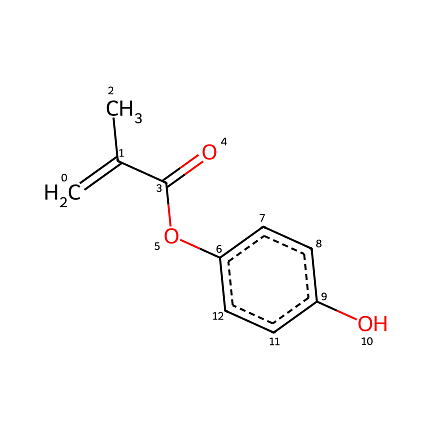 C=C(C)C(=O)Oc1ccc(O)cc1